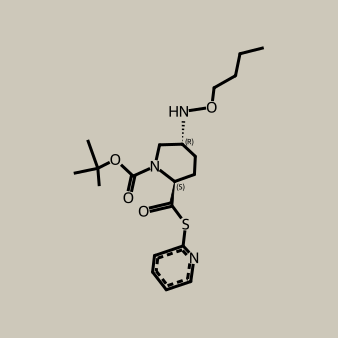 CCCCON[C@@H]1CC[C@@H](C(=O)Sc2ccccn2)N(C(=O)OC(C)(C)C)C1